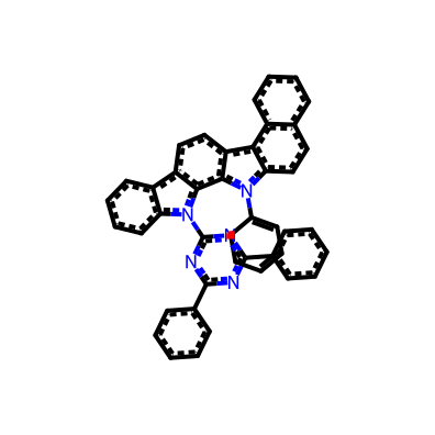 C1=CCCC(n2c3ccc4ccccc4c3c3ccc4c5ccccc5n(-c5nc(-c6ccccc6)nc(-c6ccccc6)n5)c4c32)=C1